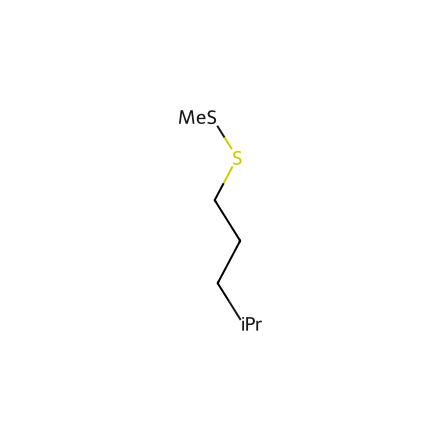 CSSCCCC(C)C